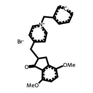 COc1ccc(OC)c2c1CC(Cc1cc[n+](Cc3ccccc3)cc1)C2=O.[Br-]